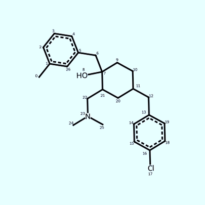 Cc1cccc(CC2(O)CCC(Cc3ccc(Cl)cc3)CC2CN(C)C)c1